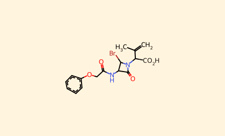 C=C(C)C(C(=O)O)N1C(=O)C(NC(=O)COc2ccccc2)C1Br